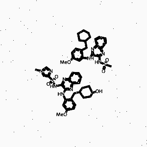 COc1ccc(CC2CCC(O)CC2)c(Nc2nc3ccccc3nc2NS(=O)(=O)c2cn(C)cn2)c1.COc1ccc(CC2CCCCC2)c(Nc2nc3ccccc3nc2NS(C)(=O)=O)c1